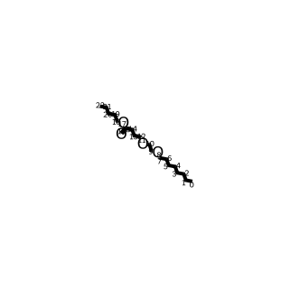 CCCCCCCCOCCOCCCC(=O)OCCCCC